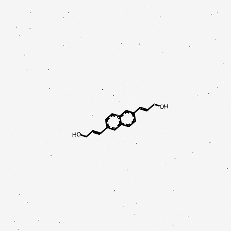 OCC=Cc1ccc2cc(C=CCO)ccc2c1